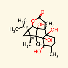 CC1CCC2(O)C3(C)CC(=O)OC4C3(O)C(C)(C2(O)C1O)[C@]1(C)C[C@@]41C(C)C